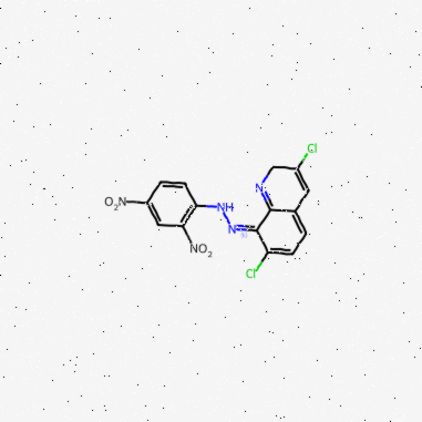 O=[N+]([O-])c1ccc(N/N=C2/C(Cl)=CC=C3C=C(Cl)CN=C32)c([N+](=O)[O-])c1